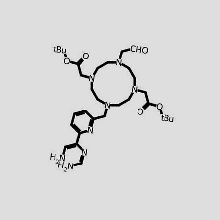 CC(C)(C)OC(=O)CN1CCN(CC=O)CCN(CC(=O)OC(C)(C)C)CCN(Cc2cccc(C(=C/N)/N=C\N)n2)CC1